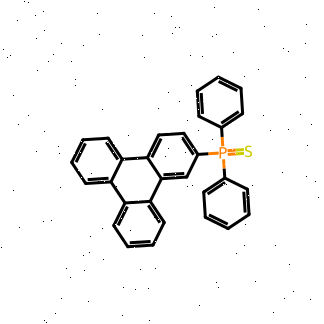 S=P(c1ccccc1)(c1ccccc1)c1ccc2c3ccccc3c3ccccc3c2c1